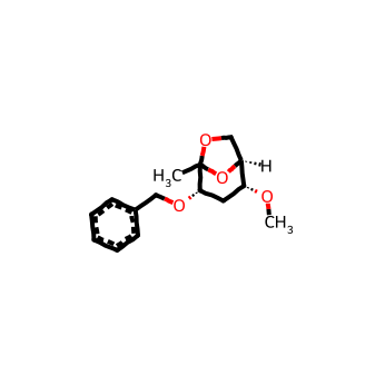 CO[C@@H]1C[C@H](OCc2ccccc2)C2(C)OC[C@@H]1O2